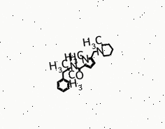 CC1CCCCN1Cc1ccc(C(=O)NC(C)(C)Cc2ccccc2)n1C